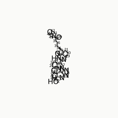 Nc1ncnc2c1c(-c1cccc(O)c1)nn2CC(c1cccc(Cl)c1)c1nc2cccc(C#CCCCC(=O)N3CCOCC3)c2c(=O)[nH]1